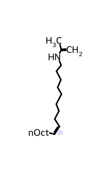 C=C(C)NCCCCCCCC/C=C\CCCCCCCC